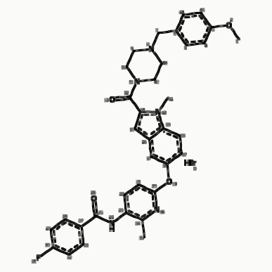 Br.COc1ccc(CN2CCN(C(=O)c3cc4cc(Oc5ccc(NC(=O)c6ccc(F)cc6)c(C)n5)ccc4n3C)CC2)cc1